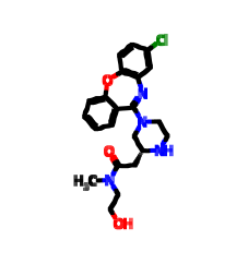 CN(CCO)C(=O)C[C@H]1CN(C2=Nc3cc(Cl)ccc3Oc3ccccc32)CCN1